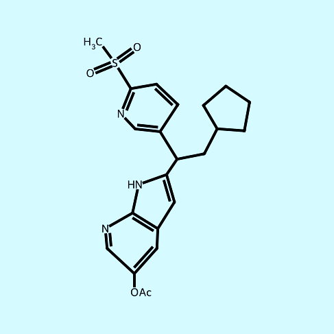 CC(=O)Oc1cnc2[nH]c(C(CC3CCCC3)c3ccc(S(C)(=O)=O)nc3)cc2c1